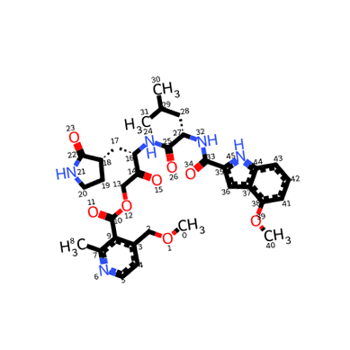 COCc1ccnc(C)c1C(=O)OCC(=O)[C@H](C[C@@H]1CCNC1=O)NC(=O)[C@H](CC(C)C)NC(=O)c1cc2c(OC)cccc2[nH]1